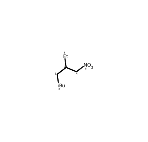 CCC(C)CC(CC)C[N+](=O)[O-]